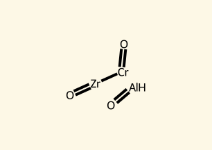 [O]=[AlH].[O]=[Cr][Zr]=[O]